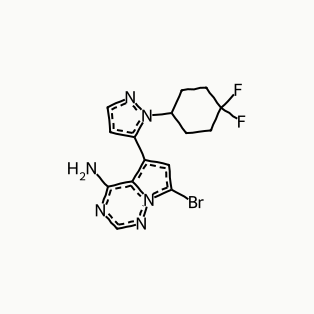 Nc1ncnn2c(Br)cc(-c3ccnn3C3CCC(F)(F)CC3)c12